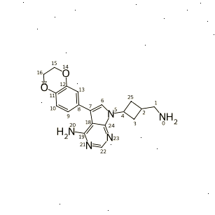 NCC1CC(n2cc(-c3ccc4c(c3)OCCO4)c3c(N)ncnc32)C1